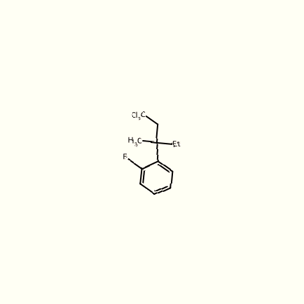 CCC(C)(CC(Cl)(Cl)Cl)c1ccccc1F